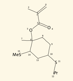 C=C(C)C(=O)OC1(C)CCC(SC(C)C)CC1SC